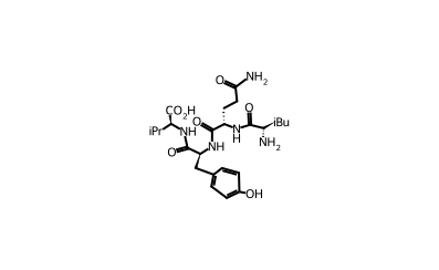 CC[C@H](C)[C@H](N)C(=O)N[C@@H](CCC(N)=O)C(=O)N[C@@H](Cc1ccc(O)cc1)C(=O)N[C@H](C(=O)O)C(C)C